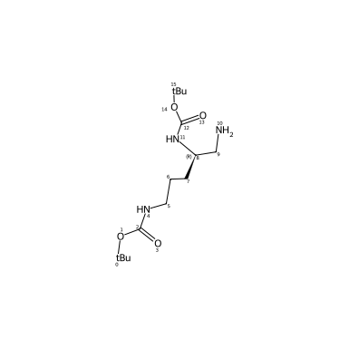 CC(C)(C)OC(=O)NCCC[C@H](CN)NC(=O)OC(C)(C)C